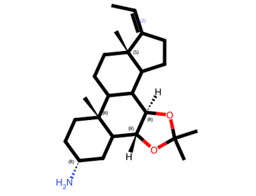 C/C=C1/CCC2C3C(CC[C@]12C)[C@@]1(C)CC[C@@H](N)CC1[C@H]1OC(C)(C)O[C@H]31